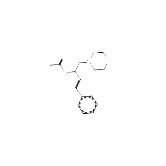 CC(=O)NC(/C=C/c1ccccc1)CN1CCNCC1